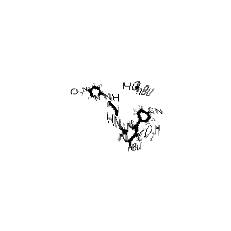 CCCCO.CCCCc1nc(NCCNc2ccc([N+](=O)[O-])cn2)nc(-c2ccc(C#N)cc2)c1C(=O)O